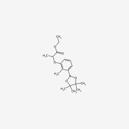 CCOC(=O)C(C)Oc1cccc(B2OC(C)(C)C(C)(C)O2)c1C